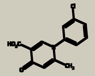 Cc1cc(=O)c(C(=O)O)cn1-c1cccc(Cl)c1